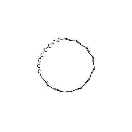 [C]1=C/C=C\C=C/C=C/C=C\C=C\C=C\C=C\C=C\C=C\CCCCCCCCC/1